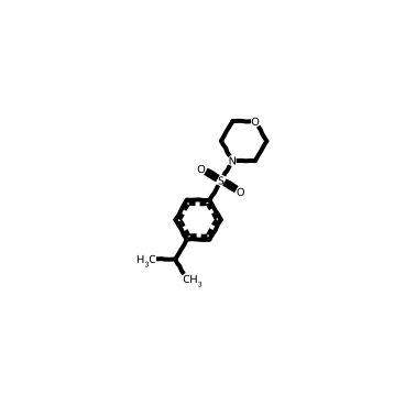 CC(C)c1ccc(S(=O)(=O)N2CCOCC2)cc1